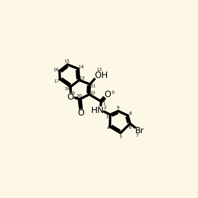 O=C(Nc1ccc(Br)cc1)c1c(O)c2ccccc2oc1=O